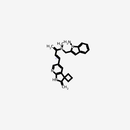 C=C(/C=C/c1cnc2c(c1)C1(CCC1)C(=C)N2)N(C)Cc1cc2ccccc2n1N